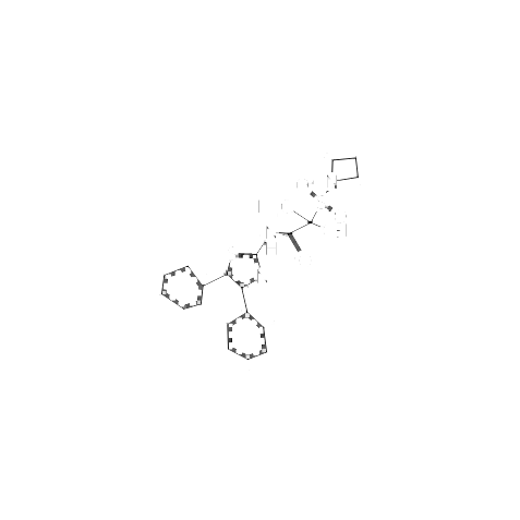 CC(C)(C(=O)Nc1nc(-c2ccccc2)c(-c2ccccc2)s1)S(=O)(=O)N1CCC1